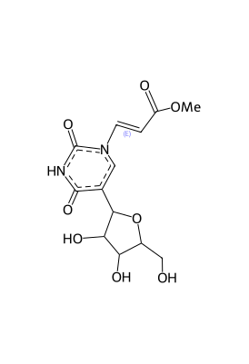 COC(=O)/C=C/n1cc(C2OC(CO)C(O)C2O)c(=O)[nH]c1=O